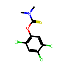 CN(C)C(=S)Oc1cc(Cl)c(Cl)cc1Cl